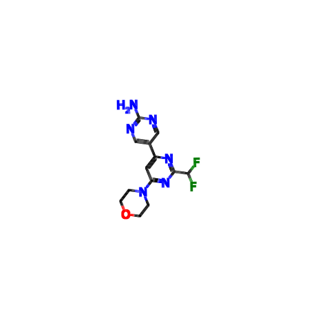 Nc1ncc(-c2cc(N3CCOCC3)nc(C(F)F)n2)cn1